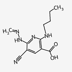 C=NNc1nc(NCCCC)c(C(=O)O)cc1C#N